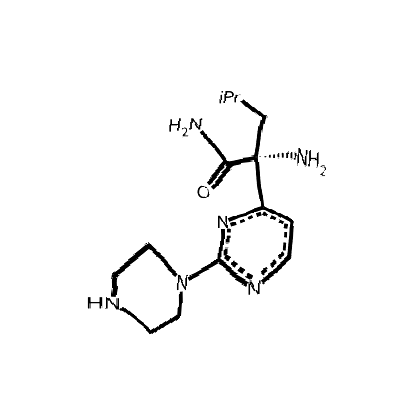 CC(C)C[C@](N)(C(N)=O)c1ccnc(N2CCNCC2)n1